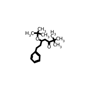 CC(C)(C)OC(CCc1ccccc1)CC(=O)C(C)(C)C